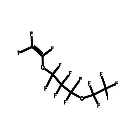 FC(F)=C(F)OC(F)(F)C(F)(F)C(F)(F)OC(F)(F)C(F)(F)I